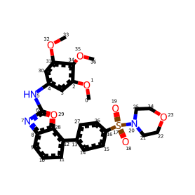 COc1cc(Nc2nc3cccc(-c4ccc(S(=O)(=O)N5CCOCC5)cc4)c3o2)cc(OC)c1OC